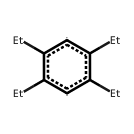 CCc1[c]c(CC)c(CC)[c]c1CC